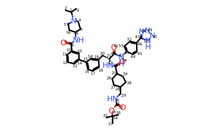 CC(C)N1CCC(NC(=O)c2cccc(-c3cccc(C[C@H](NC(=O)C4CCC(CNC(=O)OC(C)(C)C)CC4)C(=O)Nc4ccc(-c5nnn[nH]5)cc4)c3)c2)CC1